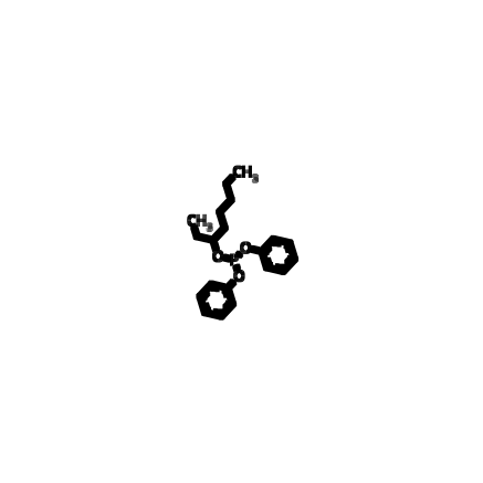 CCCCCC(CC)OP(Oc1ccccc1)Oc1ccccc1